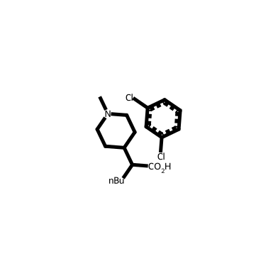 CCCCC(C(=O)O)C1CCN(C)CC1.Clc1cccc(Cl)c1